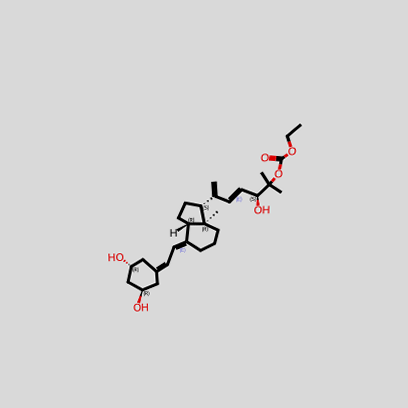 C=C(/C=C/[C@H](O)C(C)(C)OC(=O)OCC)[C@H]1CC[C@H]2/C(=C/C=C3C[C@@H](O)C[C@H](O)C3)CCC[C@]12C